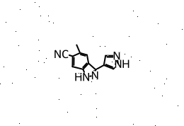 Cc1cc2c(-c3cn[nH]c3)n[nH]c2cc1C#N